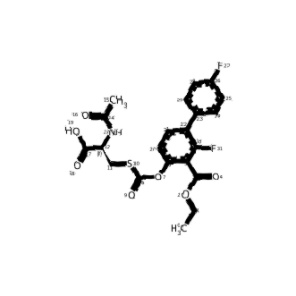 CCOC(=O)c1c(OC(=O)SC[C@H](NC(C)=O)C(=O)O)ccc(-c2ccc(F)cc2)c1F